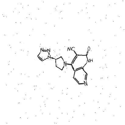 N#Cc1c(N2CC[C@@H](n3ccnn3)C2)c2ccncc2[nH]c1=O